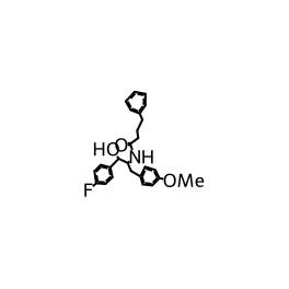 COc1ccc(CC(NC(=O)CCCc2ccccc2)C(O)c2ccc(F)cc2)cc1